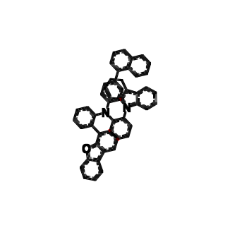 C1=Cc2c(c3ccccc3n2-c2ccccc2N(c2ccc(-c3cccc4ccccc34)cc2)c2ccccc2-c2cccc3c2oc2ccccc23)CC1